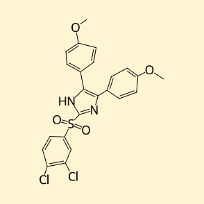 COc1ccc(-c2nc(S(=O)(=O)c3ccc(Cl)c(Cl)c3)[nH]c2-c2ccc(OC)cc2)cc1